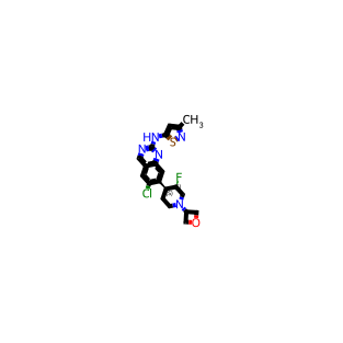 Cc1cc(Nc2ncc3cc(Cl)c([C@@H]4CCN(C5COC5)C[C@H]4F)cc3n2)sn1